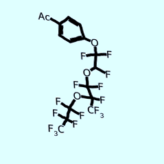 CC(=O)c1ccc(OC(F)(F)C(F)OC(F)(F)C(F)(OC(F)(F)C(F)(F)C(F)(F)F)C(F)(F)F)cc1